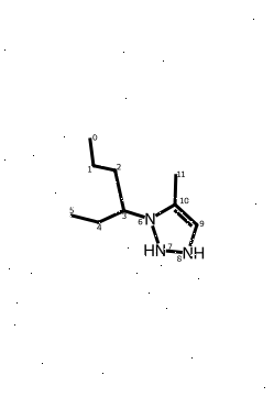 CCCC(CC)N1NNC=C1C